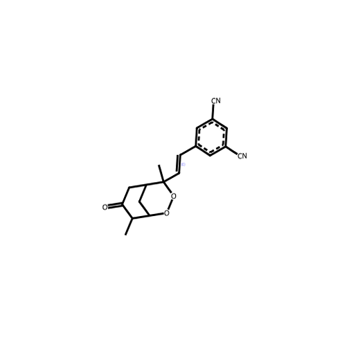 CC1C(=O)CC2CC1OOC2(C)/C=C/c1cc(C#N)cc(C#N)c1